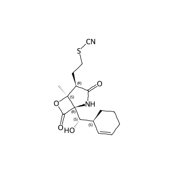 C[C@@]12OC(=O)[C@]1([C@@H](O)[C@@H]1C=CCCC1)NC(=O)[C@@H]2CCSC#N